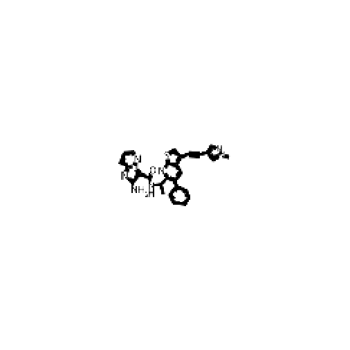 CC(NC(=O)c1c(N)nc2cccnn12)c1nc2scc(C#Cc3cnn(C)c3)c2cc1-c1ccccc1